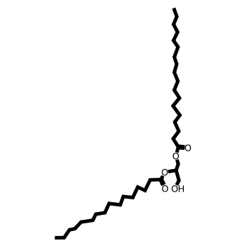 CCCCCCCCCCCCCCCCCC(=O)OCC(CO)OC(=O)CCCCCCCCCCCCCCC